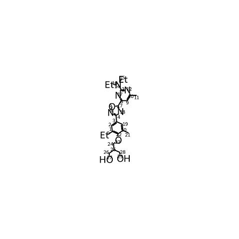 CCc1cc(-c2noc(-c3cc(C)nc(N(CC)CC)n3)n2)cc(C)c1OCC(CO)CO